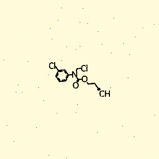 C#CCCOC(=O)N(CCl)c1cccc(Cl)c1